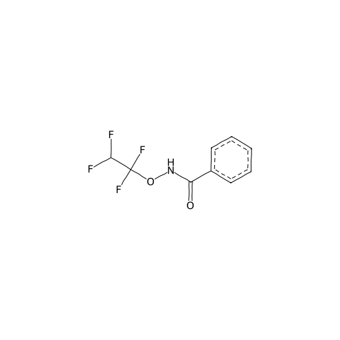 O=C(NOC(F)(F)C(F)F)c1ccccc1